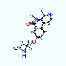 Cc1nccc2c3ccc(OCC4(C)CC(C)N4)cc3c(=O)n(C)c12